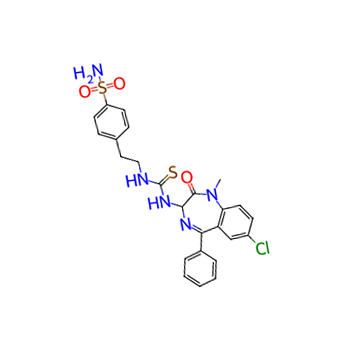 CN1C(=O)C(NC(=S)NCCc2ccc(S(N)(=O)=O)cc2)N=C(c2ccccc2)c2cc(Cl)ccc21